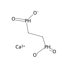 O=[PH]([O-])CC[PH](=O)[O-].[Ca+2]